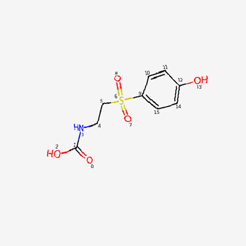 O=C(O)NCCS(=O)(=O)c1ccc(O)cc1